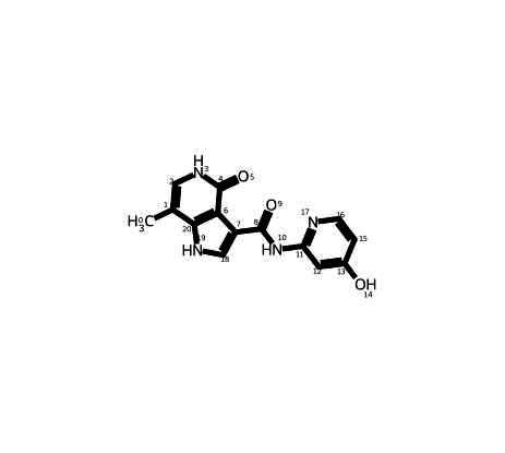 Cc1c[nH]c(=O)c2c(C(=O)Nc3cc(O)ccn3)c[nH]c12